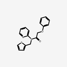 O=C(COc1ccccc1)N(Cc1cccs1)c1ccccn1